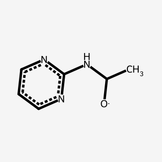 CC([O])Nc1ncccn1